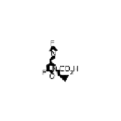 O=C(O)C(CC1CC1)n1cc(CCN2CC(F)C2)cc(F)c1=O